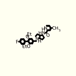 CCOc1cc(CN2CC[C@H]3C(NC(=O)c4cc(C)ccn4)CC[C@H]32)cc(OCC)c1-c1ccc(F)cc1